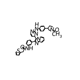 CC(=O)N1CCC(c2ccc(Nc3nccc(-c4c(-c5cccc(NC(=O)Cc6cccs6)c5)nc5ccccn45)n3)cc2)C1